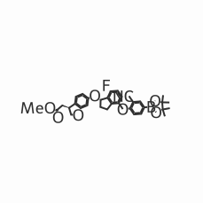 COC(=O)C[C@@H]1COc2cc(O[C@@H]3CCc4c(Oc5ccc(B6OC(C)(C)C(C)(C)O6)cc5C#N)ccc(F)c43)ccc21